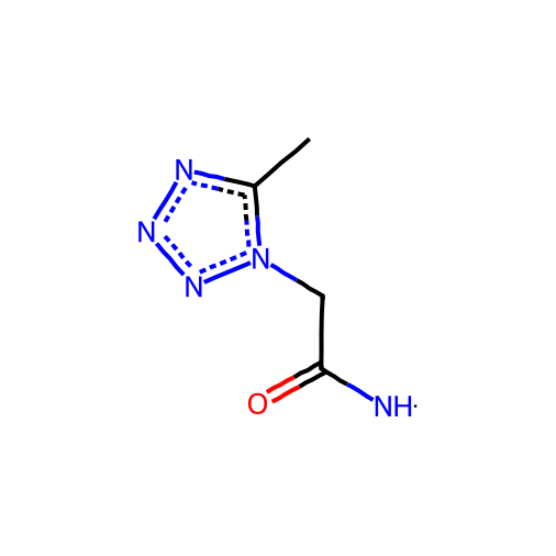 Cc1nnnn1CC([NH])=O